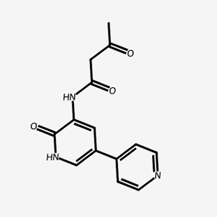 CC(=O)CC(=O)Nc1cc(-c2ccncc2)c[nH]c1=O